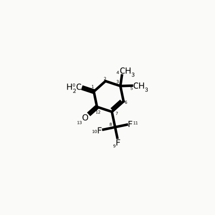 C=C1CC(C)(C)C=C(C(F)(F)F)C1=O